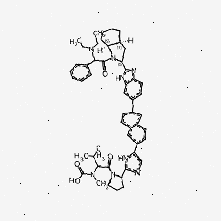 CCN(CC)C(C(=O)N1[C@H](c2nc3ccc(-c4ccc5cc(-c6cnc(C7CCCN7C(=O)C(C(C)C)N(C)C(=O)O)[nH]6)ccc5c4)cc3[nH]2)C[C@@H]2CCCC[C@@H]21)c1ccccc1